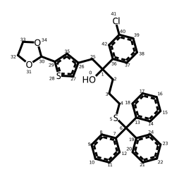 OC(CCCSC(c1ccccc1)(c1ccccc1)c1ccccc1)(Cc1csc(C2OCCO2)c1)c1cccc(Cl)c1